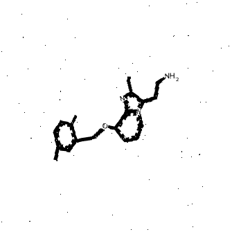 Cc1ccc(C)c(COc2cccn3c(CCN)c(C)nc23)c1